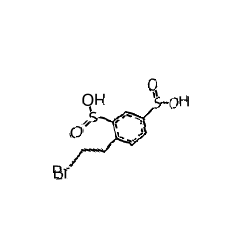 O=S(O)c1ccc(CCBr)c(S(=O)O)c1